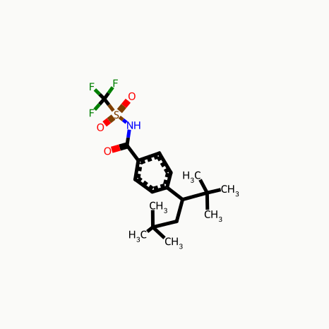 CC(C)(C)CC(c1ccc(C(=O)NS(=O)(=O)C(F)(F)F)cc1)C(C)(C)C